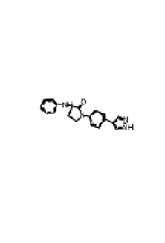 O=C1C(Nc2ccccc2)CCN1c1ccc(-c2cn[nH]c2)cc1